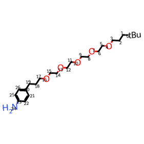 CC(C)(C)CCCOCCOCCOCCOCCOCCCc1ccc(N)cc1